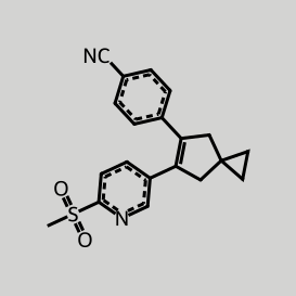 CS(=O)(=O)c1ccc(C2=C(c3ccc(C#N)cc3)CC3(CC3)C2)cn1